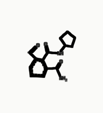 NC(=O)c1cccc([C]=O)c1C(=O)NC1CCCC1